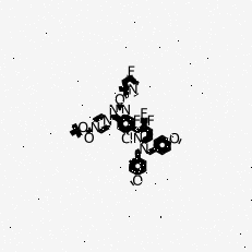 COc1ccc(CN(Cc2ccc(OC)cc2)c2ccc(C(F)(F)F)c(-c3cc4nc(OCC5(C)C[C@@H](F)CN5C)nc(N5CCN(C(=O)OC(C)(C)C)CC5)c4cc3Cl)n2)cc1